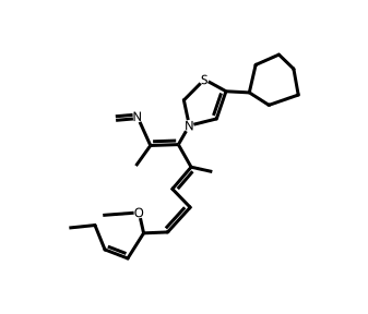 C=N/C(C)=C(/C(C)=C/C=C\C(/C=C\CC)OC)N1C=C(C2CCCCC2)SC1